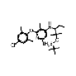 CCC(Nc1cc(C)nc(Oc2c(C)cc(Cl)cc2C)c1C)C(C)(C)O[SiH2]C(C)(C)C